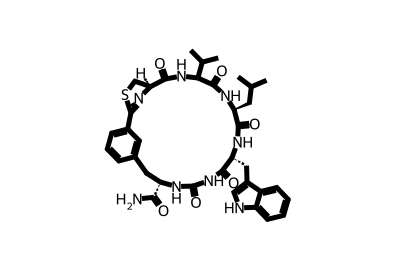 CC(C)C[C@@H]1NC(=O)C(C(C)C)NC(=O)[C@@H]2CSC(=N2)c2cccc(c2)C[C@@H](C(N)=O)NC(=O)NC(=O)[C@@H](Cc2c[nH]c3ccccc23)NC1=O